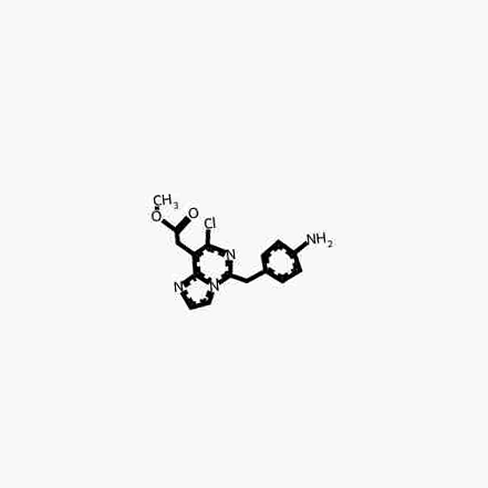 COC(=O)Cc1c(Cl)nc(Cc2ccc(N)cc2)n2ccnc12